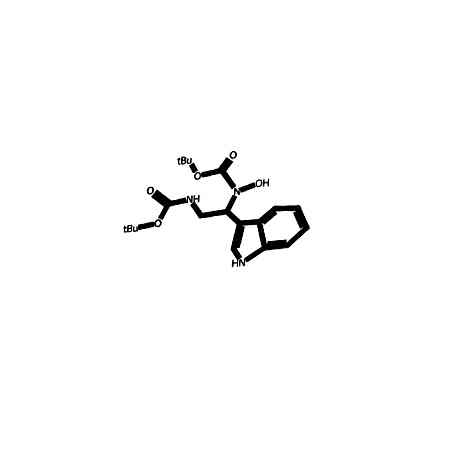 CC(C)(C)OC(=O)NCC(c1c[nH]c2ccccc12)N(O)C(=O)OC(C)(C)C